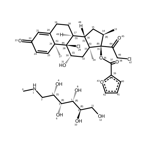 CNC[C@H](O)[C@@H](O)[C@H](O)[C@H](O)CO.C[C@@H]1C[C@H]2[C@@H]3CCC4=CC(=O)C=C[C@]4(C)[C@@]3(Cl)[C@@H](O)C[C@]2(C)[C@@]1(OC(=O)c1ccco1)C(=O)CCl